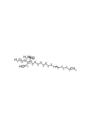 CCCCCC=CCCCCCCCCCC(C(N)=O)C(CO)CCC